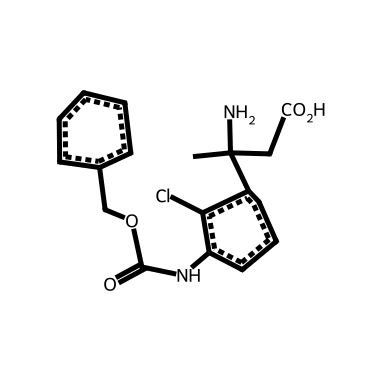 CC(N)(CC(=O)O)c1cccc(NC(=O)OCc2ccccc2)c1Cl